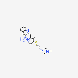 Cc1c(SCCCN2CCNCC2)ccnc1Cc1nc2ccccc2cc1N